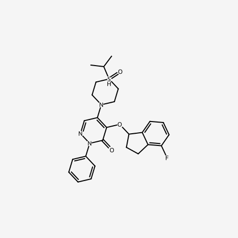 CC(C)[SH]1(=O)CCN(c2cnn(-c3ccccc3)c(=O)c2OC2CCc3c(F)cccc32)CC1